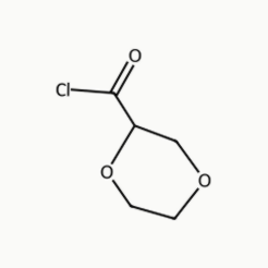 O=C(Cl)C1COCCO1